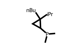 CCCCC1(C(C)C)CC1P(C)C